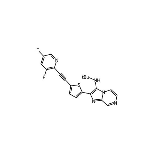 CC(C)(C)Nc1c(-c2ccc(C#Cc3ncc(F)cc3F)s2)nc2cnccn12